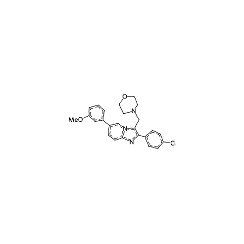 COc1cccc(-c2ccc3nc(-c4ccc(Cl)cc4)c(CN4CCOCC4)n3c2)c1